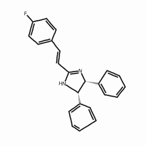 Fc1ccc(/C=C/C2=N[C@H](c3ccccc3)[C@H](c3ccccc3)N2)cc1